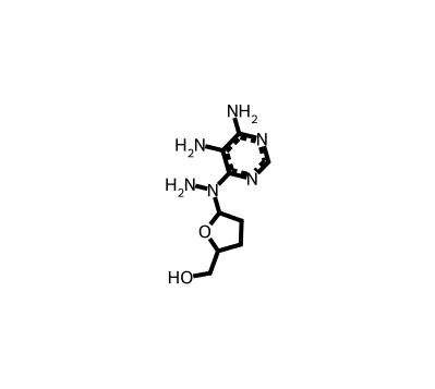 Nc1ncnc(N(N)C2CCC(CO)O2)c1N